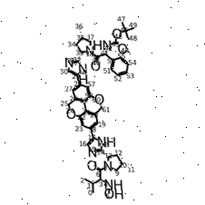 CC(C)[C@H](NO)C(=O)N1C[C@@H](C)C[C@H]1c1ncc(-c2cc3c4c(c2)OCc2cc(-c5cnc([C@@H]6C[C@H](C)CN6C(=O)[C@H](NC(=O)OC(C)(C)C)c6ccccc6)[nH]5)cc(c2-4)OC3)[nH]1